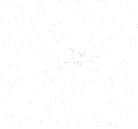 CS(=O)(=O)OCC1COc2cc3ncnc(Nc4cccc(Br)c4F)c3cc2O1